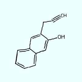 C#CCc1cc2ccccc2cc1O